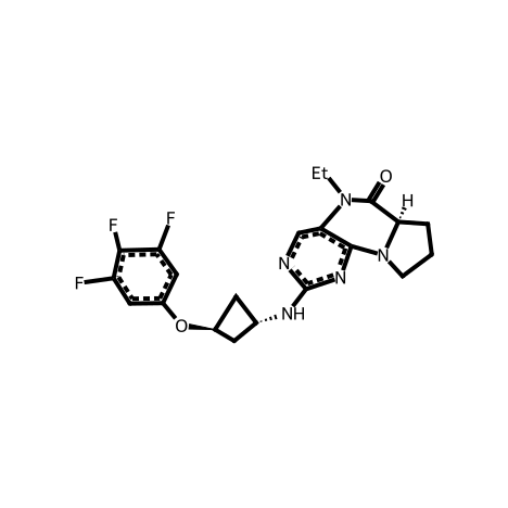 CCN1C(=O)[C@H]2CCCN2c2nc(N[C@H]3C[C@H](Oc4cc(F)c(F)c(F)c4)C3)ncc21